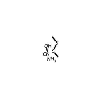 CSSC.N.N#CO